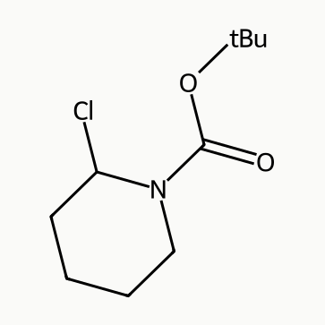 CC(C)(C)OC(=O)N1CCCCC1Cl